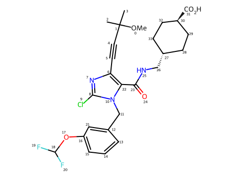 COC(C)(C)C#Cc1nc(Cl)n(Cc2cccc(OC(F)F)c2)c1C(=O)NC[C@H]1CC[C@H](C(=O)O)CC1